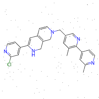 Cc1cc(-c2ncc(CN3C=CC4=C(CNC(c5ccnc(Cl)c5)=C4)C3)cc2C)ccn1